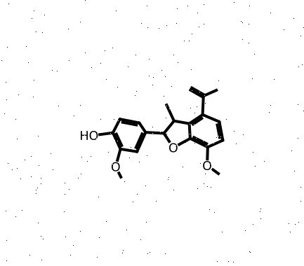 C=C(C)c1ccc(OC)c2c1C(C)C(c1ccc(O)c(OC)c1)O2